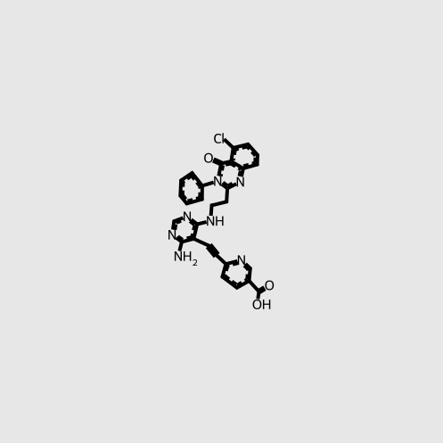 Nc1ncnc(NCCc2nc3cccc(Cl)c3c(=O)n2-c2ccccc2)c1C#Cc1ccc(C(=O)O)cn1